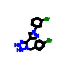 Brc1ccc(CN2NNN=C2c2cnn(-c3cccc(Br)c3)c2)cc1